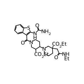 CCNC(=O)CC1(C(=O)OCC)CCCN(C2CCN(C(=O)c3c(NC(N)=O)sc4ccccc34)CC2C(=O)OCC)C1